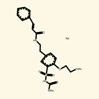 CNC(=S)NS(=O)(=O)c1cc(CCNC(=O)C=Cc2ccccc2)ccc1OCCOC.[Na]